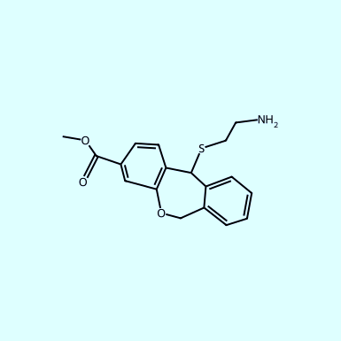 COC(=O)c1ccc2c(c1)OCc1ccccc1C2SCCN